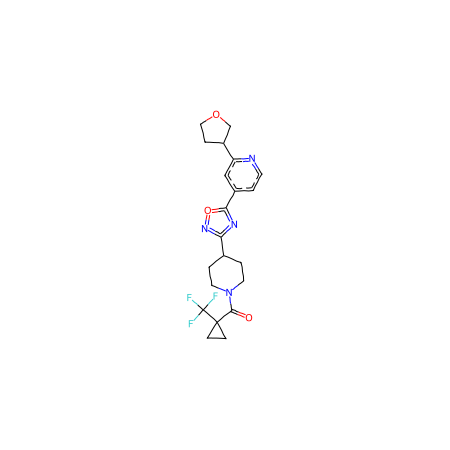 O=C(N1CCC(c2noc(-c3ccnc(C4CCOC4)c3)n2)CC1)C1(C(F)(F)F)CC1